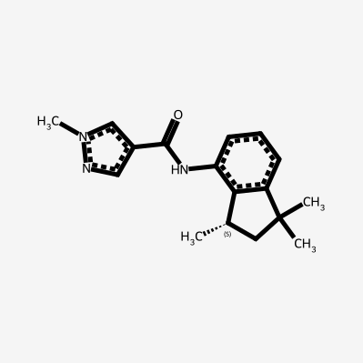 C[C@H]1CC(C)(C)c2cccc(NC(=O)c3cnn(C)c3)c21